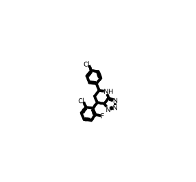 Fc1cccc(Cl)c1C1CC(c2ccc(Cl)cc2)NC2=NN=NC21